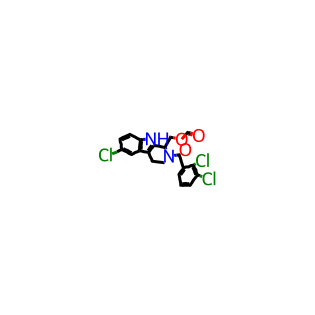 O=COCC1c2[nH]c3ccc(Cl)cc3c2CCN1C(=O)c1cccc(Cl)c1Cl